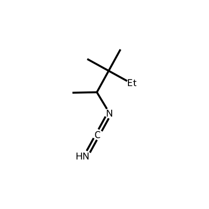 CCC(C)(C)C(C)N=C=N